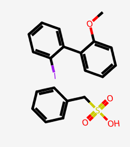 COc1ccccc1-c1ccccc1I.O=S(=O)(O)Cc1ccccc1